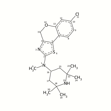 CN(c1nc2c(s1)-c1ccc(Cl)cc1OC2)C1CC(C)(C)NC(C)(C)C1